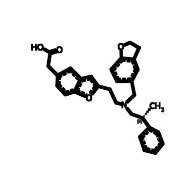 C[C@@H](CN(CCc1cc2cc(CC(=O)O)ccc2o1)Cc1ccc2c(c1)CCO2)c1ccccc1